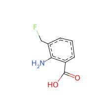 Nc1c(CF)cccc1C(=O)O